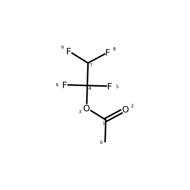 CC(=O)OC(F)(F)C(F)F